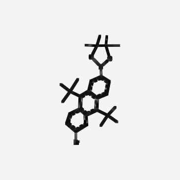 CC(C)(C)c1c2ccc(B3OC(C)(C)C(C)(C)O3)cc2c(C(C)(C)C)c2ccc(Br)cc12